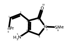 CCC/C=C\C1=C(N)CN(SC)C1=O